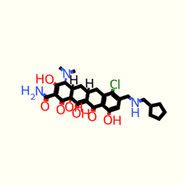 CN(C)[C@@H]1C(O)=C(C(N)=O)C(=O)[C@@]2(O)C(O)=C3C(=O)c4c(O)cc(CNCC5CCCC5)c(Cl)c4C[C@H]3C[C@@H]12